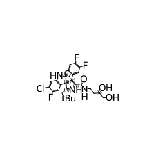 CC(C)(C)C[C@H]1N[C@@H](C(=O)NCC[C@H](O)CO)[C@H](c2ccc(F)c(F)c2)[C@@]12C(=O)Nc1cc(Cl)c(F)cc12